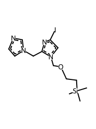 C[Si](C)(C)CCOCn1cc(I)nc1Cn1ccnc1